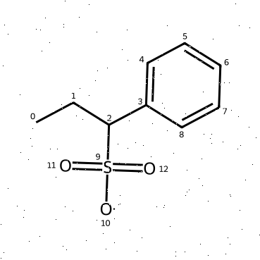 CCC(c1ccccc1)S([O])(=O)=O